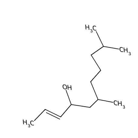 CC=CC(O)CC(C)CCCC(C)C